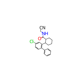 N#CCNC(=O)C1CCCCC1c1cc(Cl)ccc1-c1ccccc1